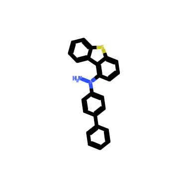 NN(c1ccc(-c2ccccc2)cc1)c1cccc2sc3ccccc3c12